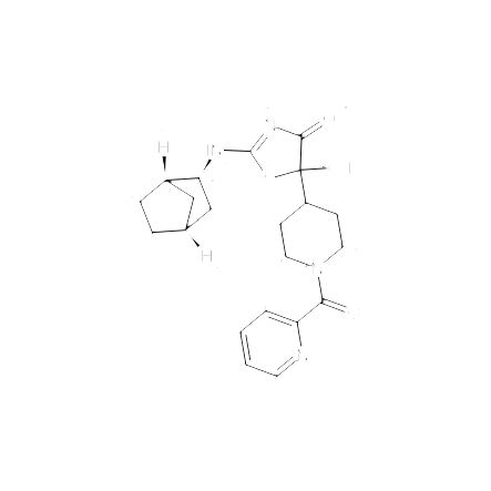 CC1(C2CCN(C(=O)c3ccccn3)CC2)SC(N[C@H]2C[C@@H]3CC[C@H]2C3)=NC1=O